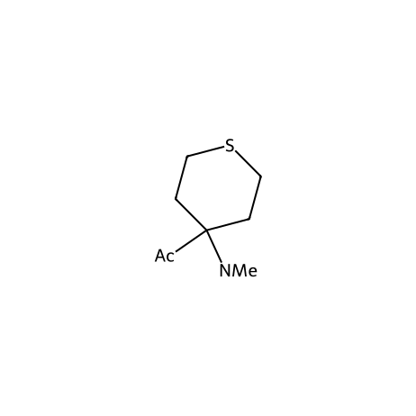 CNC1(C(C)=O)CCSCC1